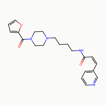 O=C(/C=C\c1cccnc1)NCCCCN1CCN(C(=O)c2ccco2)CC1